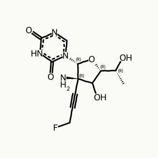 C[C@@H](O)[C@H]1O[C@@H](n2cnc(=O)[nH]c2=O)[C@@](N)(C#CCF)C1O